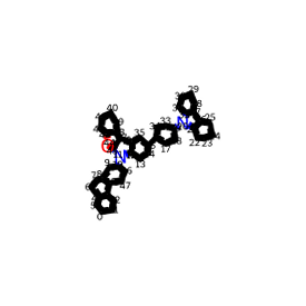 c1ccc2c(c1)ccc1cc(-n3c4ccc(-c5ccc(-n6c7ccccc7c7ccccc76)cc5)cc4c4c5ccccc5oc43)ccc12